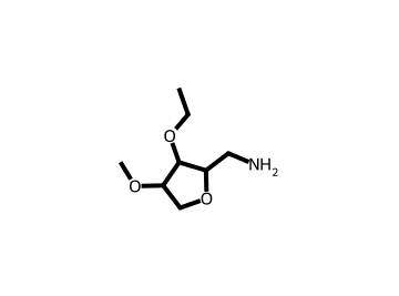 CCOC1C(OC)COC1CN